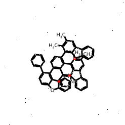 Cc1cc2c(c(-c3ccc(-c4c(-c5ccccc5)ccc5oc6ccccc6c45)c(-c4ccnnn4)c3-c3c(C)c(C)cc4c3Cc3ccccc3-4)c1C)Cc1ccccc1-2